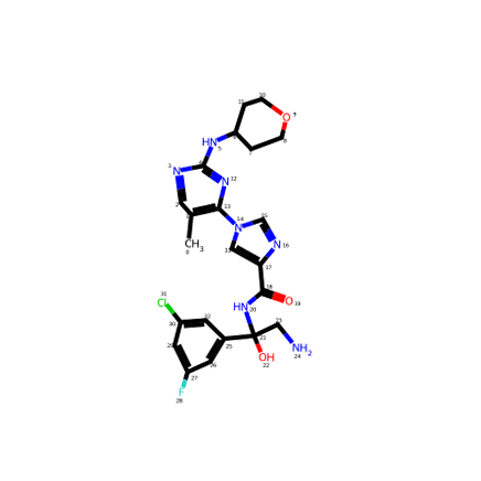 Cc1cnc(NC2CCOCC2)nc1-n1cnc(C(=O)NC(O)(CN)c2cc(F)cc(Cl)c2)c1